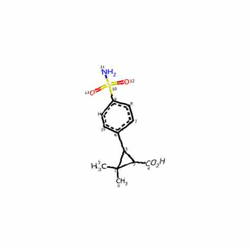 CC1(C)C(C(=O)O)C1c1ccc(S(N)(=O)=O)cc1